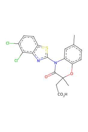 Cc1ccc2c(c1)N(c1nc3c(Cl)c(Cl)ccc3s1)C(=O)C(C)(CC(=O)O)O2